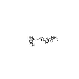 N#Cc1ccc2[nH]cc(CCCCN3CCN(c4nccc(CC(N)=O)n4)CC3)c2c1